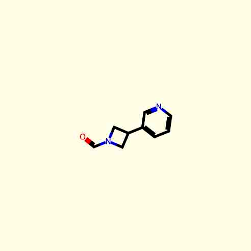 O=CN1CC(c2cccnc2)C1